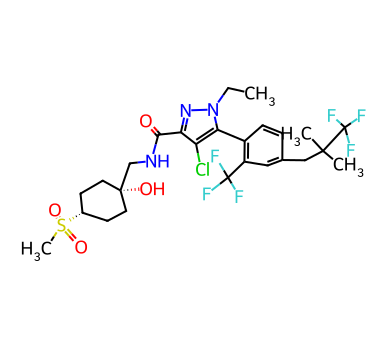 CCn1nc(C(=O)NC[C@]2(O)CC[C@@H](S(C)(=O)=O)CC2)c(Cl)c1-c1ccc(CC(C)(C)C(F)(F)F)cc1C(F)(F)F